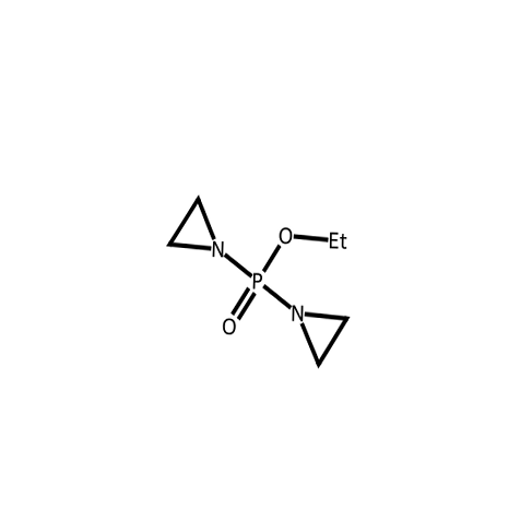 CCOP(=O)(N1CC1)N1CC1